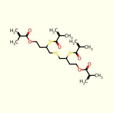 C=C(C)C(=O)OCCC(CSCC(CCOC(=O)C(=C)C)SC(=O)C(=C)C)SC(=O)C(=C)C